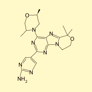 CC1CO[C@@H](C)CN1c1nc(-c2cnc(N)nc2)nc2c1nc1n2CCOC1(C)C